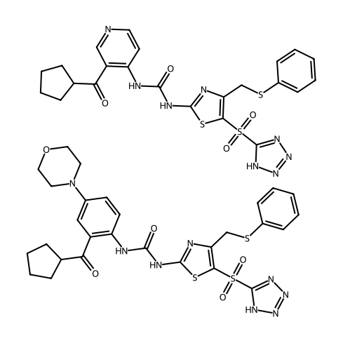 O=C(Nc1nc(CSc2ccccc2)c(S(=O)(=O)c2nnn[nH]2)s1)Nc1ccc(N2CCOCC2)cc1C(=O)C1CCCC1.O=C(Nc1nc(CSc2ccccc2)c(S(=O)(=O)c2nnn[nH]2)s1)Nc1ccncc1C(=O)C1CCCC1